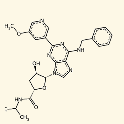 COc1cncc(-c2nc(NCc3ccccc3)c3ncn([C@@H]4O[C@H](C(=O)NC(C)C)C[C@H]4O)c3n2)c1